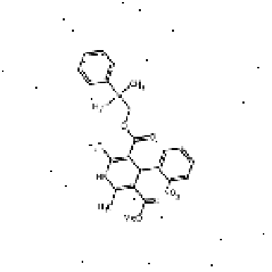 COC(=O)C1=C(C)NC(C)=C(C(=O)OC[Si](C)(C)c2ccccc2)C1c1ccccc1[N+](=O)[O-]